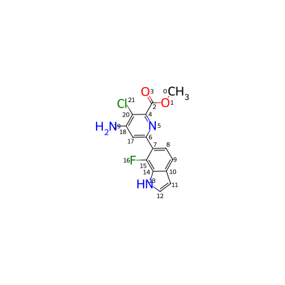 COC(=O)c1nc(-c2ccc3cc[nH]c3c2F)cc(N)c1Cl